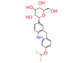 Nc1ccc([C@@H]2O[C@H](CO)[C@@H](O)[C@H](O)[C@H]2O)cc1Cc1ccc(OC(F)F)cc1